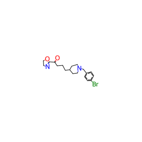 O=C(CCCC1CCN(Cc2ccc(Br)cc2)CC1)C1=NCCO1